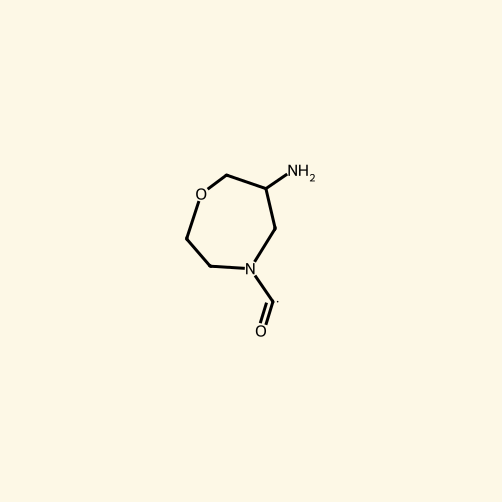 NC1COCCN([C]=O)C1